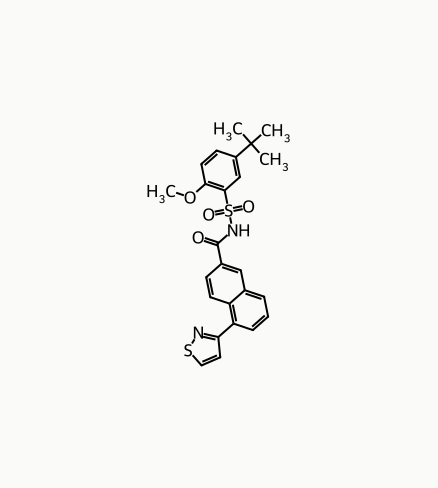 COc1ccc(C(C)(C)C)cc1S(=O)(=O)NC(=O)c1ccc2c(-c3ccsn3)cccc2c1